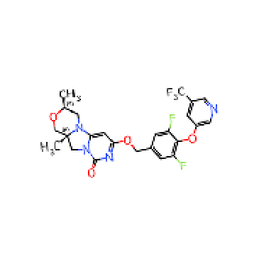 C[C@H]1CN2c3cc(OCc4cc(F)c(Oc5cncc(C(F)(F)F)c5)c(F)c4)nc(=O)n3C[C@]2(C)CO1